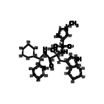 Cn1cnc(S(=O)(=O)NC(C)(Cc2c[nH]c3ccccc23)C(=O)NC(c2ccccn2)C2CCCCC2)c1